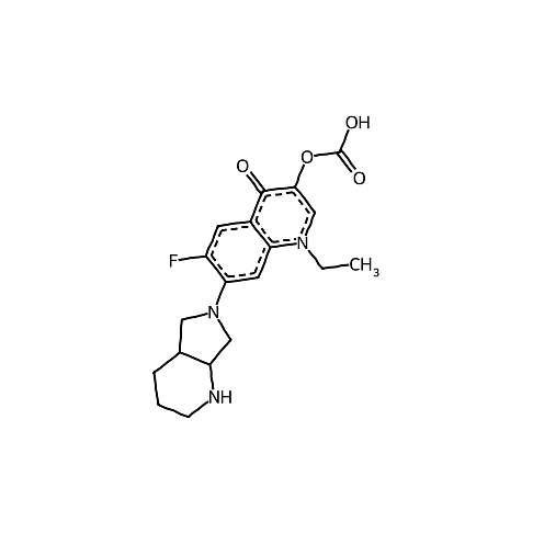 CCn1cc(OC(=O)O)c(=O)c2cc(F)c(N3CC4CCCNC4C3)cc21